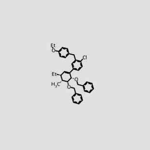 CCOc1ccc(Cc2cc(C3=C[C@H](CC)[C@@H](C)[C@H](OCc4ccccc4)[C@H]3OCc3ccccc3)ccc2Cl)cc1